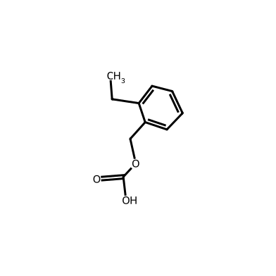 CCc1ccccc1COC(=O)O